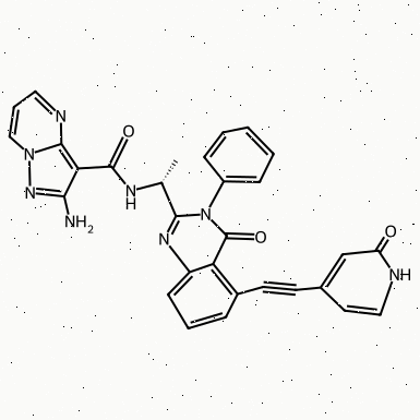 C[C@@H](NC(=O)c1c(N)nn2cccnc12)c1nc2cccc(C#Cc3cc[nH]c(=O)c3)c2c(=O)n1-c1ccccc1